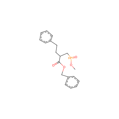 CO[PH](=O)CC(CCc1ccccc1)C(=O)OCc1ccccc1